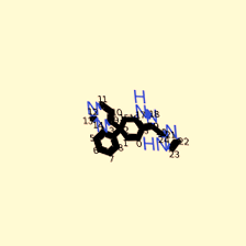 C1=CC(c2ccccc2)(c2ccncn2)Cc2[nH]nc(-c3ncc[nH]3)c21